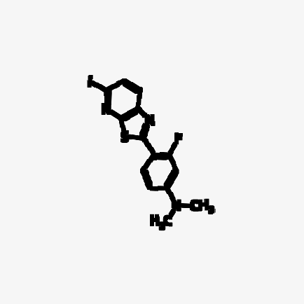 CN(C)c1ccc(-c2nc3ccc(I)nc3s2)c(F)c1